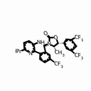 CC(C)c1ccc(N)c(-c2ccc(C(F)(F)F)cc2CN2C(=O)O[C@H](c3cc(C(F)(F)F)cc(C(F)(F)F)c3)[C@@H]2C)n1